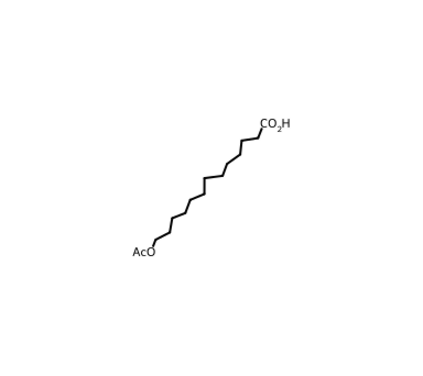 CC(=O)OCCCCCCCCCCCCC(=O)O